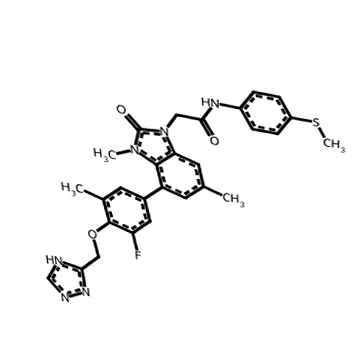 CSc1ccc(NC(=O)Cn2c(=O)n(C)c3c(-c4cc(C)c(OCc5nnc[nH]5)c(F)c4)cc(C)cc32)cc1